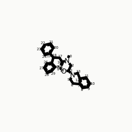 CN1CC(N2CCc3ccccc3C2)ON=C1CC(c1ccccc1)c1ccccc1